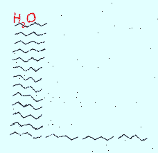 CCCCCC.CCCCCC.CCCCCC.CCCCCC.CCCCCC.CCCCCC.CCCCCC.CCCCCC.CCCCCC.CCCCCC.CCCCCC.CCCCCC.CCCCCC.CCCCCC.CCCCCC.CCCCCC.O